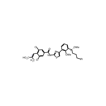 COc1c(-c2csc(NC(=O)c3cc(Cl)c(/C=C(\C)C(=O)O)c(Cl)c3)n2)cccc1[C@@H](CCCC(C)C)OC